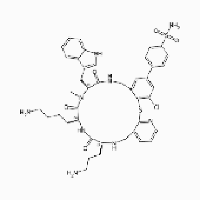 CN1C(=O)[C@H](CCCCN)NC(=O)[C@H](CCCN)NCc2cccnc2Sc2c(Cl)cc(-c3ccc(S(N)(=O)=O)cc3)cc2CNC(=O)[C@@H]1Cc1c[nH]c2ccccc12